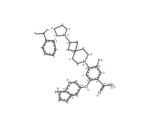 CC(C)c1ccccc1[C@@H]1CCCN1C1CC2(CCN(c3cc(Oc4cnc5[nH]ccc5c4)c(C(N)=O)cc3F)CC2)C1